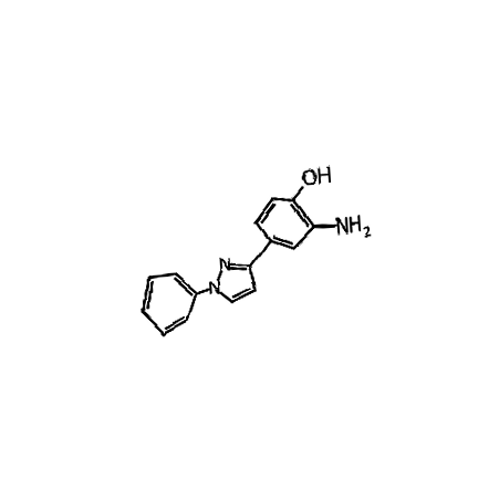 Nc1cc(-c2ccn(-c3ccccc3)n2)ccc1O